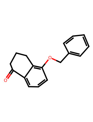 O=C1CCCc2c(OCc3ccccc3)cccc21